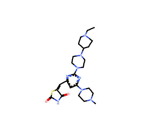 CCN1CCC(N2CCN(c3nc(/C=C4/SC(=O)NC4=O)cc(N4CCN(C)CC4)n3)CC2)CC1